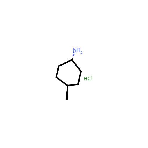 C[C@H]1CC[C@H](N)CC1.Cl